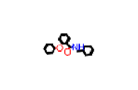 O=C(NCc1ccccc1)c1ccccc1Oc1ccccc1